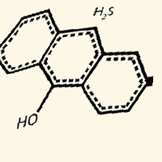 Oc1c2ccccc2cc2ccccc12.S